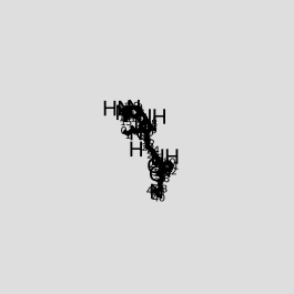 CCCNc1nc(Nc2cnc3[nH]nc(C)c3c2)ncc1C#CCCCNC(=O)C1CCCN1C(=O)C=CCN(C)C